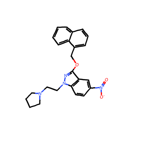 O=[N+]([O-])c1ccc2c(c1)c(OCc1cccc3ccccc13)nn2CCN1CCCC1